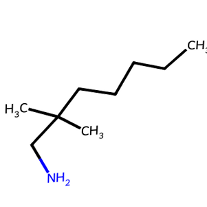 CCCCCC(C)(C)CN